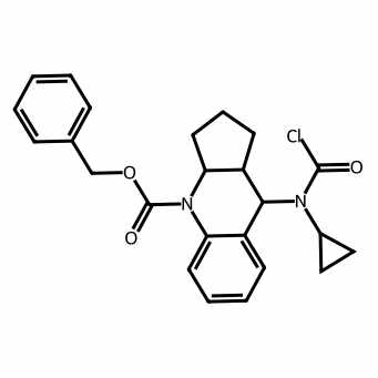 O=C(OCc1ccccc1)N1c2ccccc2C(N(C(=O)Cl)C2CC2)C2CCCC21